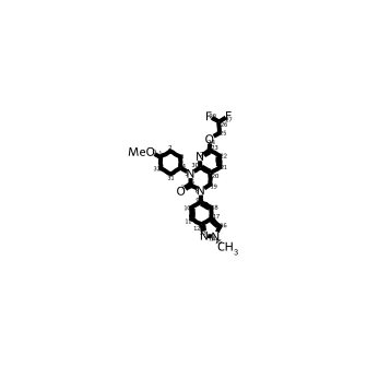 COC1CCC(N2C(=O)N(c3ccc4nn(C)cc4c3)Cc3ccc(OCC(F)F)nc32)CC1